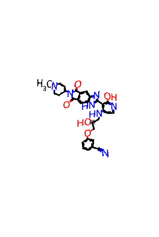 CN1CCC(N2C(=O)c3cc4nc(-c5c(NC[C@@H](O)COc6cccc(C#N)c6)ccnc5O)[nH]c4cc3C2=O)CC1